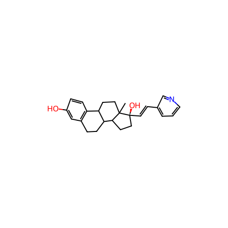 CC12CCC3c4ccc(O)cc4CCC3C1CC[C@@]2(O)/C=C/c1cccnc1